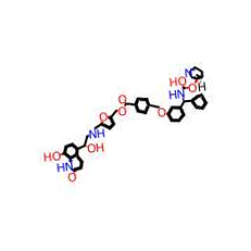 O=C(OCc1ccc(CNC[C@H](O)c2ccc(O)c3[nH]c(=O)ccc23)o1)c1ccc(COc2cccc([C@@H](NC(O)O[C@H]3CN4CCC3CC4)c3ccccc3)c2)cc1